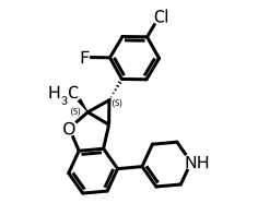 C[C@]12Oc3cccc(C4=CCNCC4)c3C1[C@H]2c1ccc(Cl)cc1F